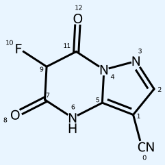 N#Cc1cnn2c1NC(=O)C(F)C2=O